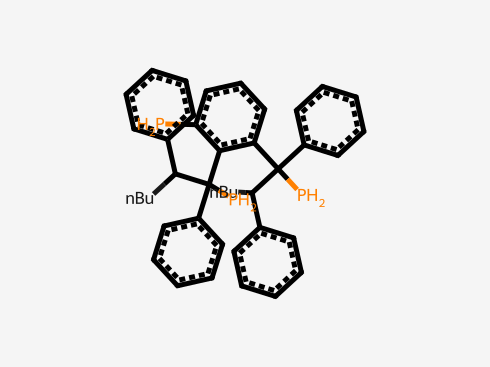 CCCCC(c1ccccc1)C(P)(c1ccccc1)c1cccc(P)c1C(P)(c1ccccc1)C(CCCC)c1ccccc1